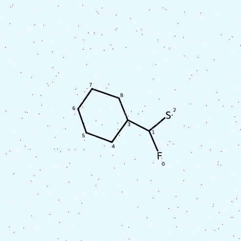 FC([S])C1CCCCC1